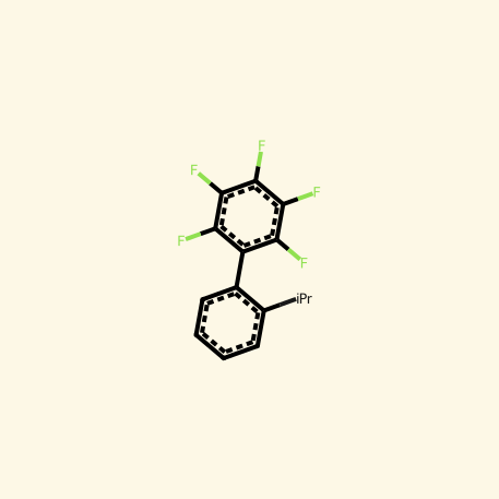 CC(C)c1ccccc1-c1c(F)c(F)c(F)c(F)c1F